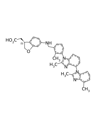 Cc1c(CNc2ccc3c(c2)OC[C@H]3CC(=O)O)cccc1-n1c(C)nc2c(-n3c(C)nc4c(C)cccc43)cccc21